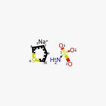 NS(=O)(=O)[O-].[Na+].c1ccsc1